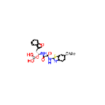 COc1ccc2nc(NC(=O)C(=O)N[C@@H](Cc3coc4ccccc34)OB(O)O)sc2c1